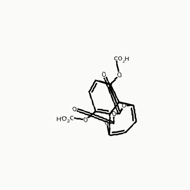 O=C(O)Oc1ccc(OC(=O)O)c2c3ccc(oc(=O)oc(=O)o3)c12